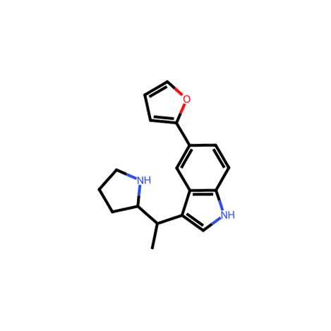 CC(c1c[nH]c2ccc(-c3ccco3)cc12)C1CCCN1